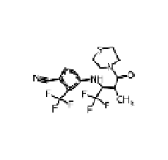 CC(C(=O)N1CCSCC1)C(Nc1ccc(C#N)c(C(F)(F)F)c1)C(F)(F)F